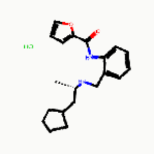 C[C@@H](CC1CCCC1)NCc1ccccc1NC(=O)c1ccco1.Cl